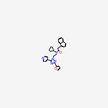 O=C(Cc1cccc2ccccc12)N(CCn1nc(-c2ccco2)nc1-c1ccncc1)C1CCCC1